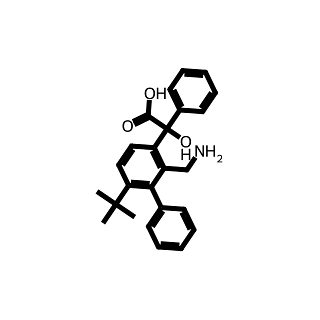 CC(C)(C)c1ccc(C(O)(C(=O)O)c2ccccc2)c(CN)c1-c1ccccc1